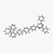 c1ccc(-c2cc(-c3ccc(-c4ccc(-c5ccc(-c6cccc7c6-c6ccccc6C76CCCCC6)cc5)cc4)cc3)nc(-c3ccccc3)n2)cc1